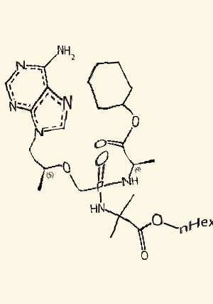 CCCCCCOC(=O)C(C)(C)NP(=O)(CO[C@@H](C)Cn1cnc2c(N)ncnc21)N[C@H](C)C(=O)OC1CCCCC1